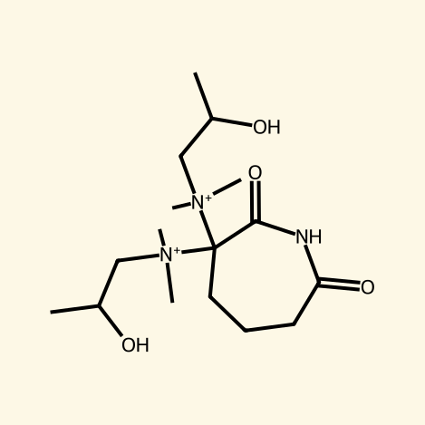 CC(O)C[N+](C)(C)C1([N+](C)(C)CC(C)O)CCCC(=O)NC1=O